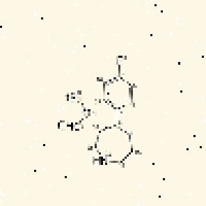 CC(C)(C)OC=O.Fc1ccc(C2CCCNCC2)cc1